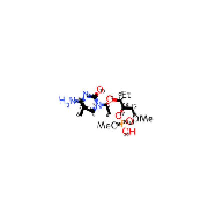 CC[C@H](OC(C)n1cc(C)c(N)nc1=O)C(COC)OP(=O)(O)OC